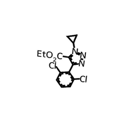 CCOC(=O)c1c(-c2c(Cl)cccc2Cl)nnn1C1CC1